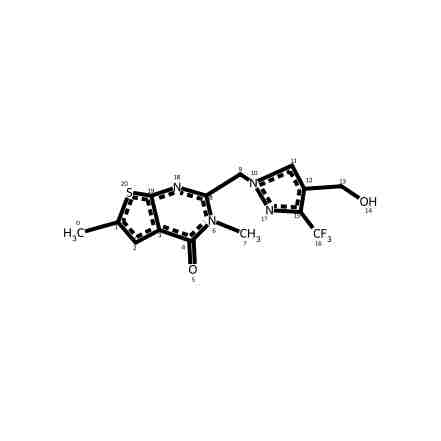 Cc1cc2c(=O)n(C)c(Cn3cc(CO)c(C(F)(F)F)n3)nc2s1